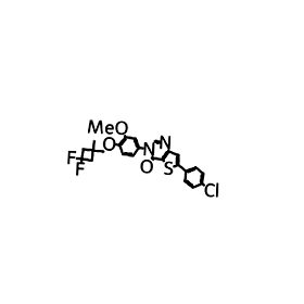 COc1cc(-n2cnc3cc(-c4ccc(Cl)cc4)sc3c2=O)ccc1OCC1(C)CC(F)(F)C1